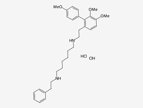 COc1ccc(-c2c(CCNCCCCCCNCCc3ccccc3)ccc(OC)c2OC)cc1.Cl.Cl